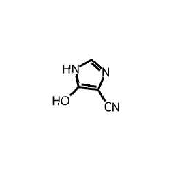 N#Cc1nc[nH]c1O